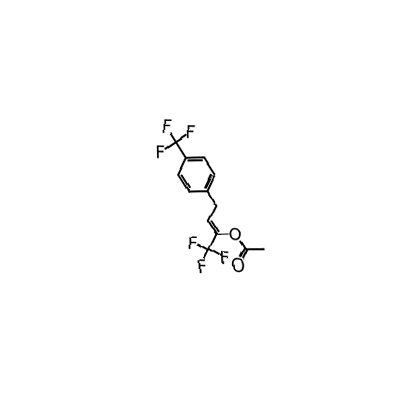 CC(=O)OC(=CCc1ccc(C(F)(F)F)cc1)C(F)(F)F